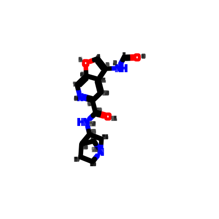 O=CNc1coc2cnc(C(=O)NC3CN4CCC3C4)cc12